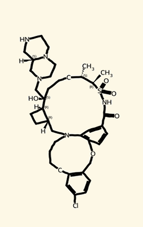 C[C@@H]1[C@@H](C)CCC[C@@](O)(CN2CCN3CCNC[C@H]3C2)[C@@H]2CC[C@H]2CN2CCCCc3cc(Cl)ccc3COc3ccc(cc32)C(=O)NS1(=O)=O